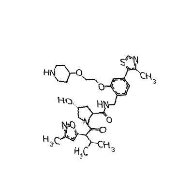 Cc1cc(C(C(=O)N2C[C@H](O)C[C@H]2C(=O)NCc2ccc(-c3scnc3C)cc2OCCOC2CCNCC2)C(C)C)on1